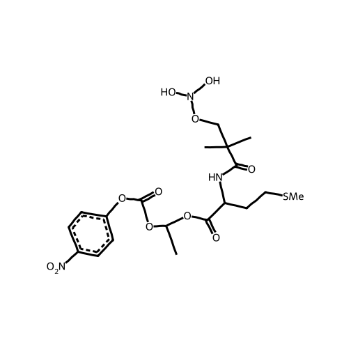 CSCCC(NC(=O)C(C)(C)CON(O)O)C(=O)OC(C)OC(=O)Oc1ccc([N+](=O)[O-])cc1